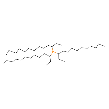 CCCCCCCCCCC(CC)P(C(CC)CCCCCCCCCC)C(CC)CCCCCCCCCC